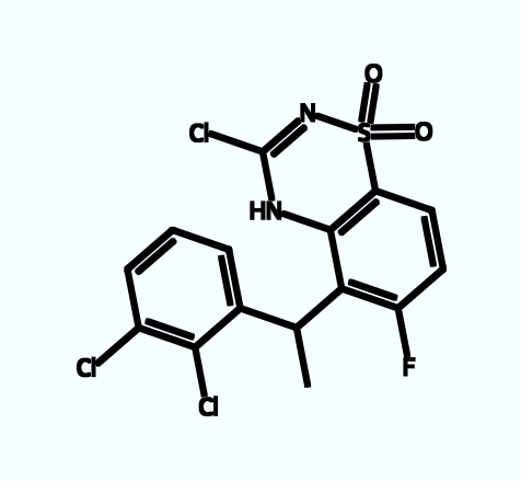 CC(c1cccc(Cl)c1Cl)c1c(F)ccc2c1NC(Cl)=NS2(=O)=O